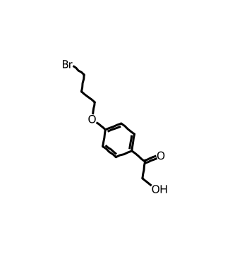 O=C(CO)c1ccc(OCCCBr)cc1